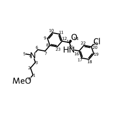 COCCCN(C)CCc1cccc(C(=O)Nc2cccc(Cl)c2)c1